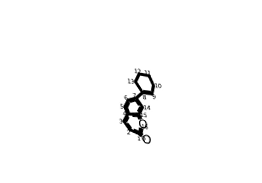 O=c1ccc2ccc(C3=CCCCC3)cc2o1